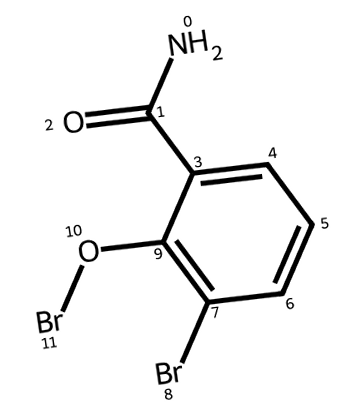 NC(=O)c1cccc(Br)c1OBr